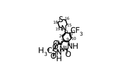 CS(=O)(=O)Nn1c(=O)[nH]c2cc(C(F)(F)F)c(N3CCSCC3)cc2c1=O